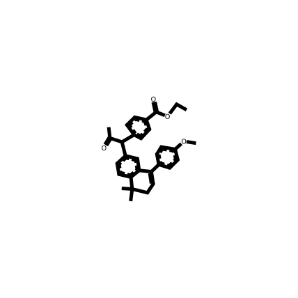 CCOC(=O)c1ccc(C(C(C)=O)c2ccc3c(c2)C(c2ccc(OC)cc2)=CCC3(C)C)cc1